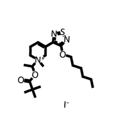 CCCCCCOc1nsnc1C1=CCC[N+](C)(C(C)OC(=O)C(C)(C)C)C1.[I-]